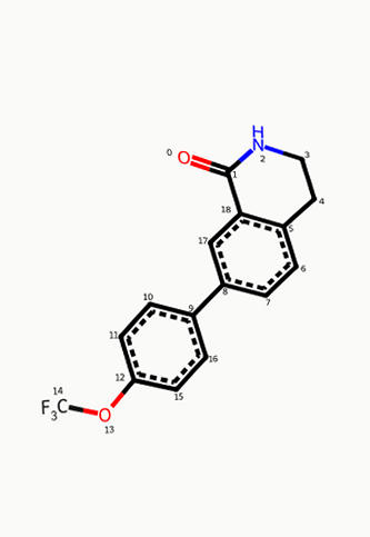 O=C1NCCc2ccc(-c3ccc(OC(F)(F)F)cc3)cc21